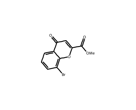 COC(=O)c1cc(=O)c2cccc(Br)c2o1